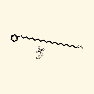 CCCCCCCCCCCCCCCCCCCCOc1ccccc1.O=S(=O)([O-])[O-].[Na+].[Na+]